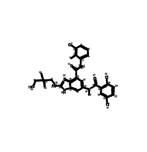 Cc1c(Cl)cccc1NC(=O)c1cc(N(C)C(=O)c2cc(Cl)ccc2Cl)cc2[nH]c(NCC(C)(C)CO)nc12